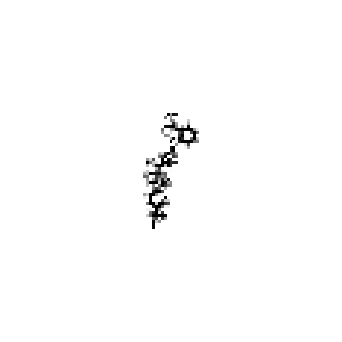 COC(=O)c1ccccc1SCCNC(=O)C(C)(C)S(=O)(=O)c1ccc(C(F)(F)F)cn1